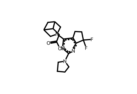 O=C(O)CC1C2CC1CN(c1nc(N3CCCC3)nc3c1CCC3(F)F)C2